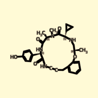 C[C@@H]1CN[C@@H](C2CC2)C(=O)N(C)[C@H](C)C(=O)N[C@H](c2ccc(O)cc2)C(=O)NCCCc2ccccc2O1